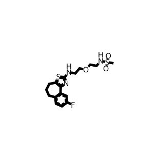 CS(=O)(=O)NCCOCCNc1nc2c(s1)CCCc1ccc(F)cc1-2